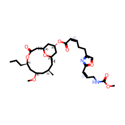 CCC[C@@H]1C[C@H](OC)C[C@H](C)C[C@@H]2C[C@@H](OC(=O)/C=C\CCc3coc(/C=C\CNC(=O)OC)n3)C[C@H](CC(=O)O1)O2